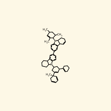 CC1=CC(C)CC(C)C1N1c2ccc(-c3ccc4c(c3)C3CCCCC3N4C3CC([C@]4(C)C=CC=CC4)=CC(C4=CCCCC4)C3)cc2C2C=CCCC21